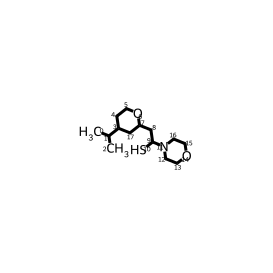 CC(C)C1CCOC(CC(S)N2CCOCC2)C1